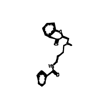 CN(CCCCNC(=O)c1ccccc1)CC1Oc2ccccc2C1=O